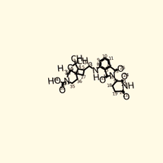 CC(C)(C)C1C(CNc2cccc3c2C(=O)N(C2CCC(=O)NC2=O)C3=O)CC12CCN(C(=O)O)CC2